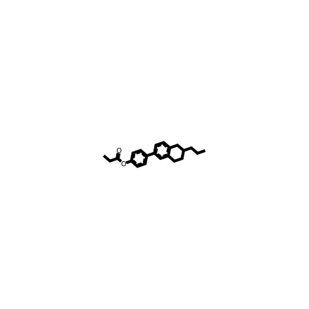 CCCC1CCc2cc(-c3ccc(OC(=O)CC)cc3)ccc2C1